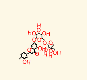 Cc1ccc(-c2cc(=O)c3c(O)cc(OC4OC(COC5OCC(O)(CO)C5O)C(O)C(O)C4O)cc3o2)cc1O